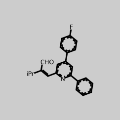 CC(C)C(C=O)=Cc1cc(-c2ccc(F)cc2)cc(-c2ccccc2)n1